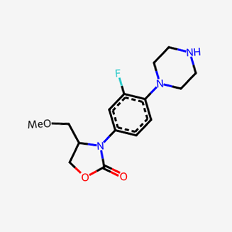 COCC1COC(=O)N1c1ccc(N2CCNCC2)c(F)c1